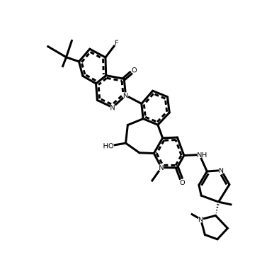 CN1CCC[C@H]1C1(C)C=NC(Nc2cc3c(n(C)c2=O)CC(O)Cc2c-3cccc2-n2ncc3cc(C(C)(C)C)cc(F)c3c2=O)=CC1